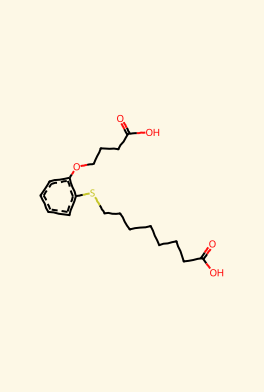 O=C(O)CCCCCCCSc1ccccc1OCCCC(=O)O